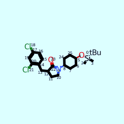 CC(C)(C)[Si](C)(C)O[C@H]1CC[C@@H](N2CCC(Cc3ccc(Cl)cc3Cl)C2=O)CC1